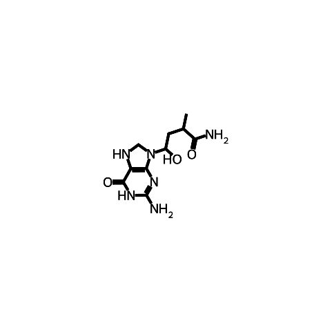 CC(CC(O)N1CNc2c1nc(N)[nH]c2=O)C(N)=O